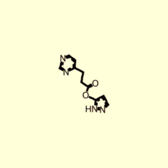 O=C(CCc1ccncn1)Oc1ccn[nH]1